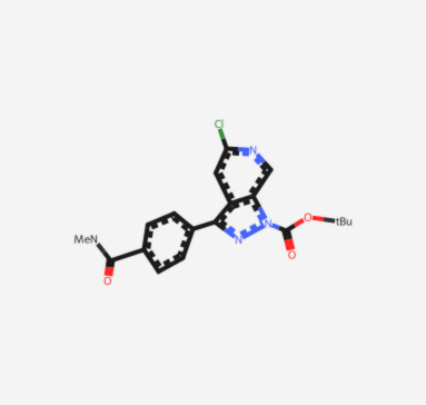 CNC(=O)c1ccc(-c2nn(C(=O)OC(C)(C)C)c3cnc(Cl)cc23)cc1